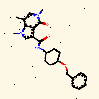 Cc1cn(C)c(=O)c2c(C(=O)NC3CCC(OCc4ccccc4)CC3)cn(C)c12